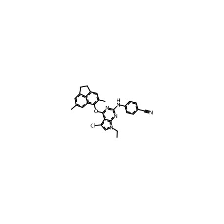 CCn1cc(Cl)c2c(Oc3c(C)cc4c5c(cc(C)cc35)CC4)nc(Nc3ccc(C#N)cc3)nc21